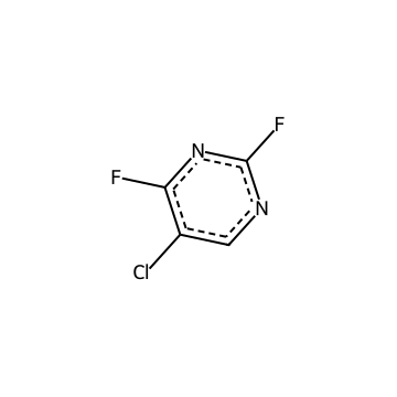 Fc1ncc(Cl)c(F)n1